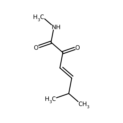 CNC(=O)C(=O)C=CC(C)C